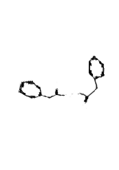 S=C(Cc1ccccc1)SSC(=S)Cc1ccccc1